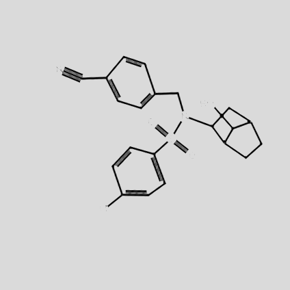 N#Cc1ccc(CN(C2CC3CCC2C3O)S(=O)(=O)c2ccc(Cl)cc2)cc1